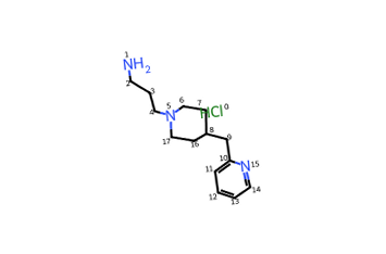 Cl.NCCCN1CCC(Cc2ccccn2)CC1